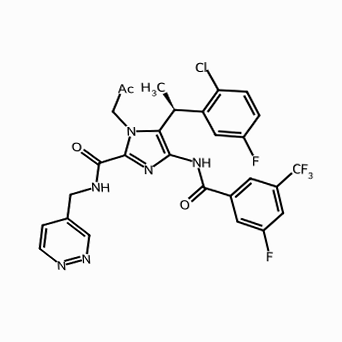 CC(=O)Cn1c(C(=O)NCc2ccnnc2)nc(NC(=O)c2cc(F)cc(C(F)(F)F)c2)c1[C@@H](C)c1cc(F)ccc1Cl